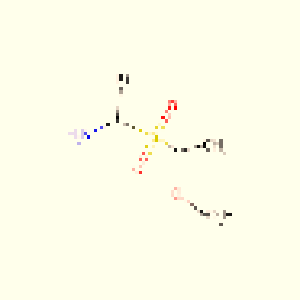 CCC(N)S(=O)(=O)C(C)OS(=O)(=O)O